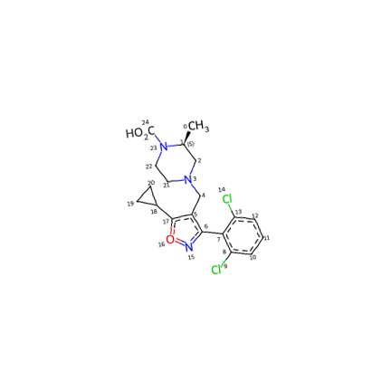 C[C@H]1CN(Cc2c(-c3c(Cl)cccc3Cl)noc2C2CC2)CCN1C(=O)O